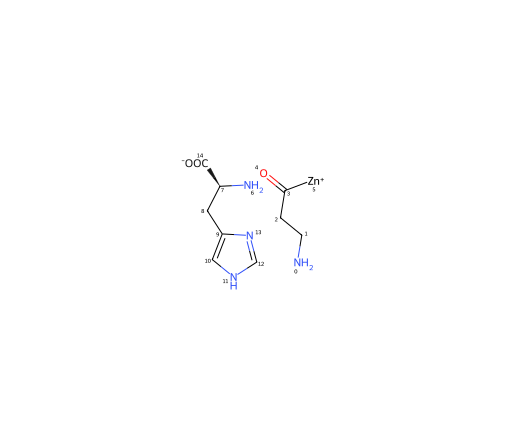 NCC[C](=O)[Zn+].N[C@@H](Cc1c[nH]cn1)C(=O)[O-]